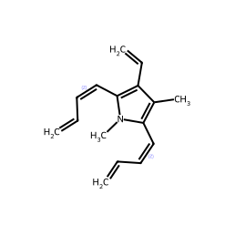 C=C/C=C\c1c(C)c(C=C)c(/C=C\C=C)n1C